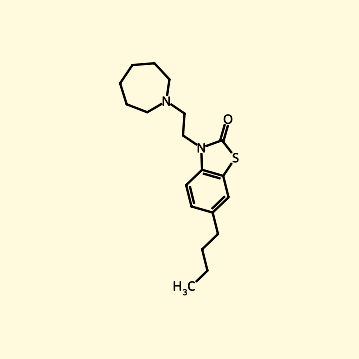 CCCCc1ccc2c(c1)sc(=O)n2CCN1CCCCCC1